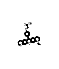 CCN1CCCc2cc3c(cc21)Oc1cc2c(cc1=C3c1ccc(OCC(=O)O)cc1)CCCN=2